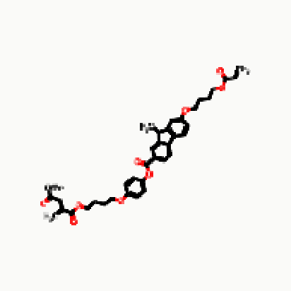 C=CC(=O)OCCCCOc1ccc2c(c1)C(C)c1cc(C(=O)Oc3ccc(OCCCCOC(=O)C(=C)CC(=O)OC)cc3)ccc1-2